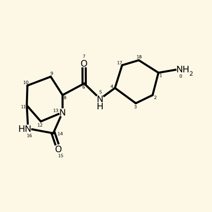 NC1CCC(NC(=O)C2CCC3CN2C(=O)N3)CC1